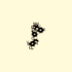 COc1cc2nccc(Oc3ccc(N(C(=O)C4(C(N)=O)CC4)c4ccc(F)cc4)c(C)c3)c2cc1OC